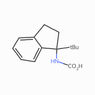 CC(C)(C)C1(NC(=O)O)CCc2ccccc21